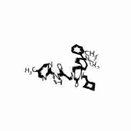 Cc1cnc(NC(=O)CN2CC3(CCC(c4ccccc4)(N(C)C)CC3)N(CC3CCC3)C2=O)nc1